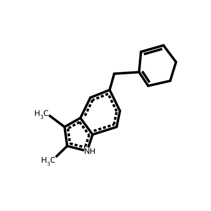 Cc1[nH]c2ccc(CC3=CCCC=C3)cc2c1C